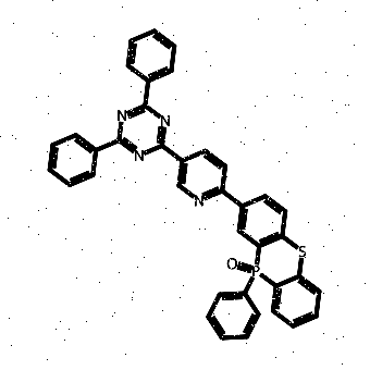 O=P1(c2ccccc2)c2ccccc2Sc2ccc(-c3ccc(-c4nc(-c5ccccc5)nc(-c5ccccc5)n4)cn3)cc21